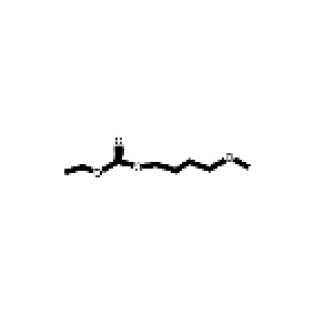 CCOC(=O)OCCCCOC